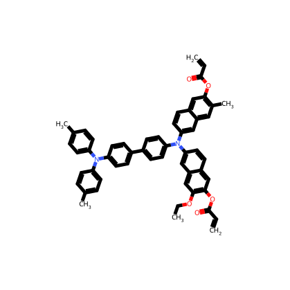 C=CC(=O)Oc1cc2ccc(N(c3ccc(-c4ccc(N(c5ccc(C)cc5)c5ccc(C)cc5)cc4)cc3)c3ccc4cc(OC(=O)C=C)c(OCC)cc4c3)cc2cc1C